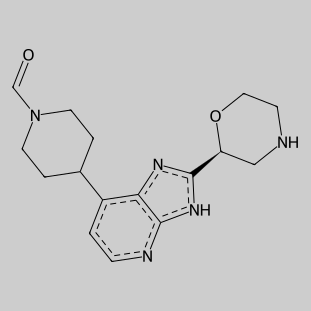 O=CN1CCC(c2ccnc3[nH]c([C@@H]4CNCCO4)nc23)CC1